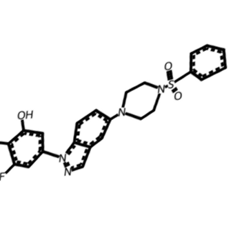 O=S(=O)(c1ccccc1)N1CCN(c2ccc3c(cnn3-c3cc(O)c(F)c(F)c3)c2)CC1